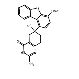 COc1ccc(C2(C#N)CCc3nc(N)[nH]c(=O)c3C2)c2c1oc1ccccc12